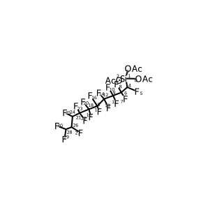 CC(=O)O[Si](OC(C)=O)(OC(C)=O)C(F)C(F)(F)C(F)(F)C(F)(F)C(F)(F)C(F)(F)C(F)(F)C(F)C(F)C(F)F